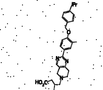 Cc1cc(-c2ncc3c(n2)CCN(CC(C)CC(=O)O)C3)ccc1OCc1ccc(C(C)C)cc1